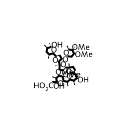 CO[C@@H]1[C@@H](OC)[C@H](C)[C@@](O)(CC(=O)O)O[C@H]1[C@H](C)[C@H]1O[C@@]2(CC[C@@](C)([C@H]3CC[C@@](C)([C@@H]4O[C@@H]([C@H]5O[C@](C)(O)[C@H](C)C[C@@H]5C)C[C@@H]4OC4C[C@H](OC)[C@@H](OC)[C@H](C)O4)O3)O2)C[C@H](O)[C@H]1C